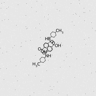 CC1CCC(BC(=O)c2ccc(C(=O)O)c3c(C(=O)NC4CCC(C)CC4)ccc(C(=O)O)c23)CC1